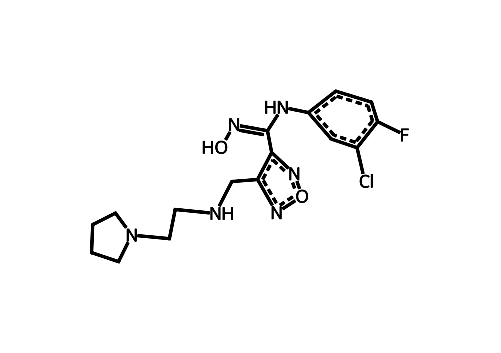 O/N=C(/Nc1ccc(F)c(Cl)c1)c1nonc1CNCCN1CCCC1